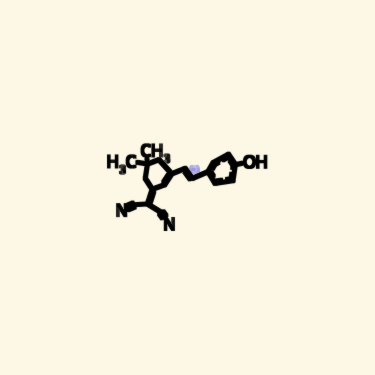 CC1(C)CC(/C=C/c2ccc(O)cc2)=CC(=C(C#N)C#N)C1